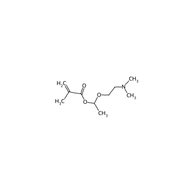 C=C(C)C(=O)OC(C)OCCN(C)C